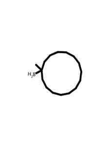 BC1(C)CCCCCCCCCCCCCC1